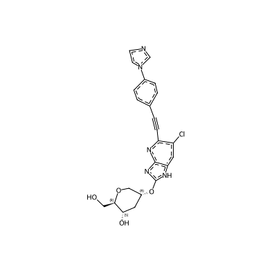 OC[C@H]1OC[C@H](Oc2nc3nc(C#Cc4ccc(-n5ccnc5)cc4)c(Cl)cc3[nH]2)C[C@@H]1O